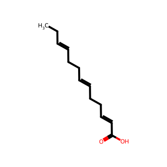 CCC=CCCC=CCCC=CC(=O)O